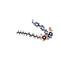 CCCCCCCCCCCCCCCCOc1c(F)cc(S(=O)(=O)c2cnc3ccc([S+](C)[O-])cc3c2N2CCC(N3CCN(C4CCN(CC)CC4)CC3)CC2)cc1F